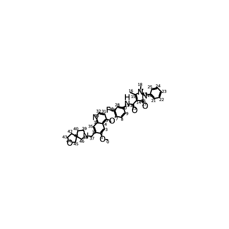 COc1cc2c(Oc3ccc(NC(=O)c4c(C)n(C)n(-c5ccccc5)c4=O)cc3F)ccnc2cc1CN1CCC2(CCOC2)C1